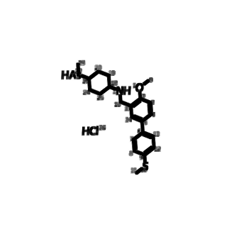 COc1ccc(-c2ccc(SC)cc2)cc1CNC1CCC([AsH]C)CC1.Cl